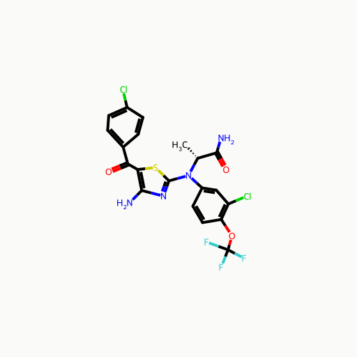 C[C@H](C(N)=O)N(c1ccc(OC(F)(F)F)c(Cl)c1)c1nc(N)c(C(=O)c2ccc(Cl)cc2)s1